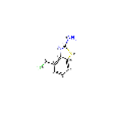 Nc1nc2c(CCl)cccc2s1